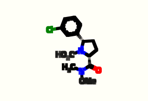 CON(C)C(=O)[C@H]1CC[C@@H](c2cccc(Cl)c2)N1C(=O)O